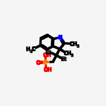 CCC(CC)(CP(=O)(O)O)C1(C)C(C)=Nc2ccc(C)cc21